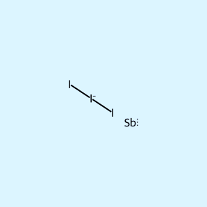 I[I-]I.[Sb]